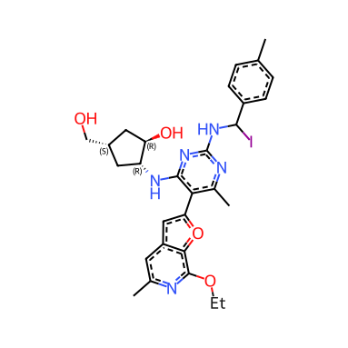 CCOc1nc(C)cc2cc(-c3c(C)nc(NC(I)c4ccc(C)cc4)nc3N[C@@H]3C[C@H](CO)C[C@H]3O)oc12